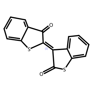 O=C1Sc2ccccc2/C1=C1/Sc2ccccc2C1=O